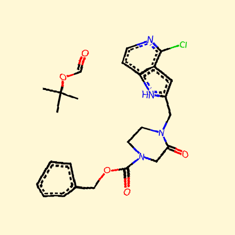 CC(C)(C)OC=O.O=C1CN(C(=O)OCc2ccccc2)CCN1Cc1cc2c(Cl)nccc2[nH]1